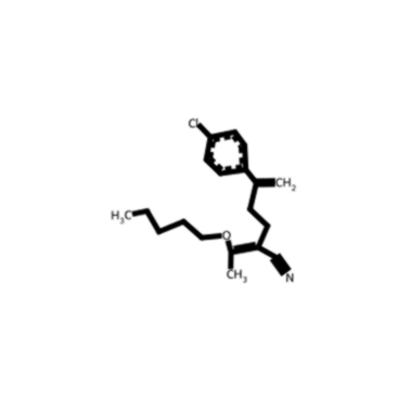 C=C(CCC(C#N)=C(C)OCCCCC)c1ccc(Cl)cc1